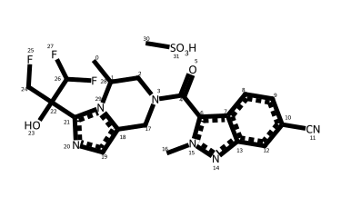 CC1CN(C(=O)c2c3ccc(C#N)cc3nn2C)Cc2cnc(C(O)(CF)C(F)F)n21.CS(=O)(=O)O